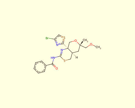 COC[C@]1(C)C[C@H]2CSC(NC(=O)c3ccccc3)=N[C@@]2(c2nc(Br)cs2)CO1